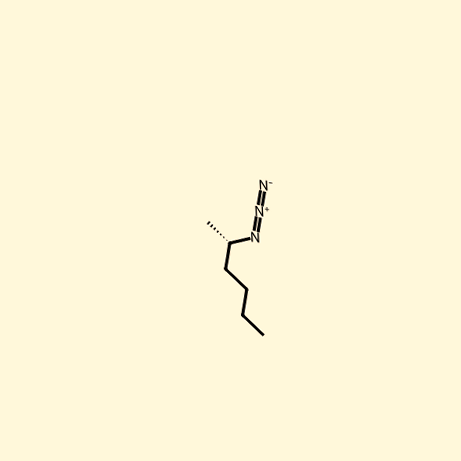 CCCC[C@H](C)N=[N+]=[N-]